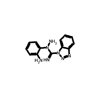 N=C(N(N)c1ccccc1N)n1nnc2ccccc21